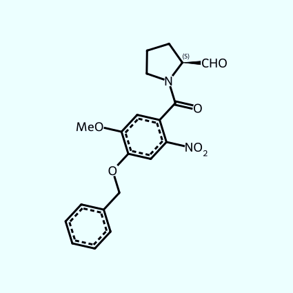 COc1cc(C(=O)N2CCC[C@H]2C=O)c([N+](=O)[O-])cc1OCc1ccccc1